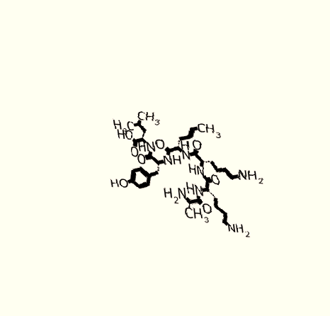 C/C=C/C[C@H](NC(=O)[C@H](CCCCN)NC(=O)[C@H](CCCCN)NC(=O)[C@H](C)N)C(=O)N[C@H](Cc1ccc(O)cc1)C(=O)N[C@H](CC(C)C)C(=O)O